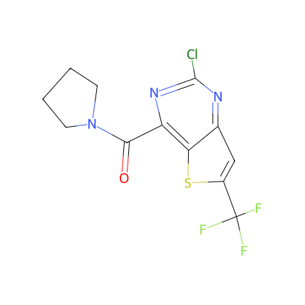 O=C(c1nc(Cl)nc2cc(C(F)(F)F)sc12)N1CCCC1